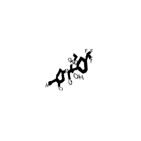 CCS(=O)(=O)CC(O)(C(=O)Nc1ccc(C#N)c(Cl)c1)c1ccc(C(F)(F)F)cc1